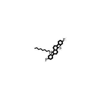 CCCCCCCCn1c2cc(F)ccc2c2ccc3c(ccc4c5ccc(F)cc5sc43)c21